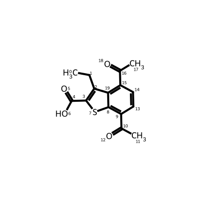 CCc1c(C(=O)O)sc2c(C(C)=O)ccc(C(C)=O)c12